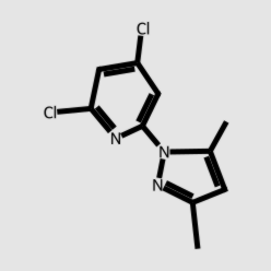 Cc1cc(C)n(-c2cc(Cl)cc(Cl)n2)n1